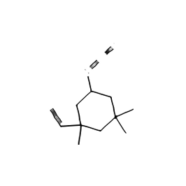 C=CC1(C)CC(N=C=O)CC(C)(C)C1